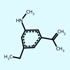 C=C(C)c1cc(CC)cc(NC)c1